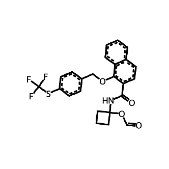 O=COC1(NC(=O)c2ccc3ccccc3c2OCc2ccc(SC(F)(F)F)cc2)CCC1